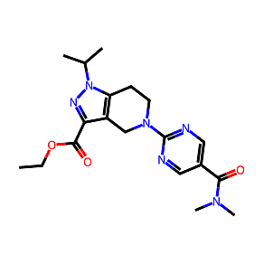 CCOC(=O)c1nn(C(C)C)c2c1CN(c1ncc(C(=O)N(C)C)cn1)CC2